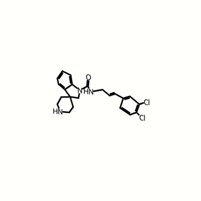 O=C(NCC=Cc1ccc(Cl)c(Cl)c1)N1CC2(CCNCC2)c2ccccc21